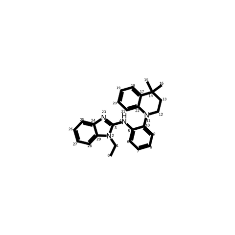 CCn1c(Nc2ccccc2N2CCC(C)(C)c3ccccc32)nc2ccccc21